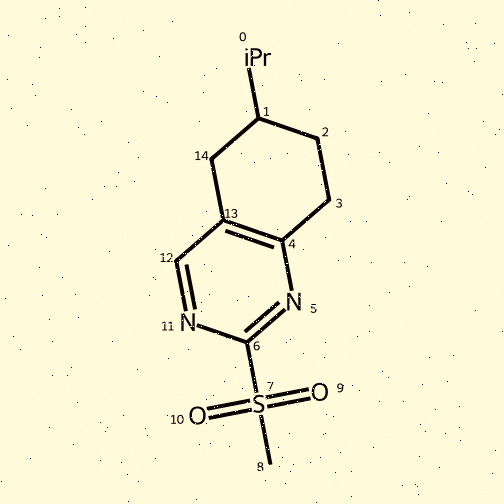 CC(C)C1CCc2nc(S(C)(=O)=O)ncc2C1